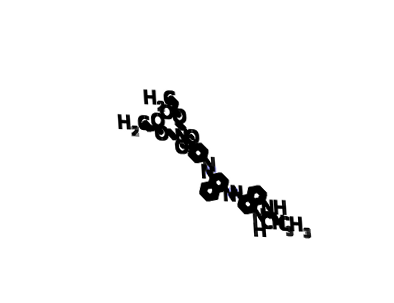 C=CC(=O)OCCN(CCOC(=O)C=C)S(=O)(=O)c1ccc(/N=N/c2ccc(/N=N/c3ccc4c5c(cccc35)NC(C)(CCC)N4)c3ccccc23)cc1